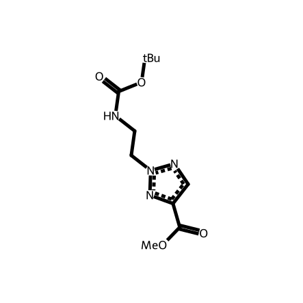 COC(=O)c1cnn(CCNC(=O)OC(C)(C)C)n1